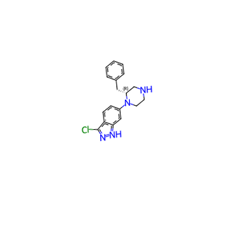 Clc1n[nH]c2cc(N3CCNC[C@H]3Cc3ccccc3)ccc12